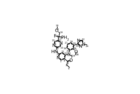 CCC(=O)c1cnc(Nc2cnc(C(F)(P)COC)cn2)cc1N(I)c1cccc(-c2ncn(C)n2)c1OC